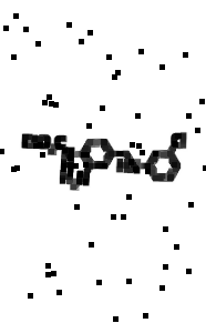 CCOC(=O)Nc1ccc(CNc2cccc(Cl)c2)cc1N